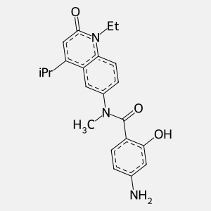 CCn1c(=O)cc(C(C)C)c2cc(N(C)C(=O)c3ccc(N)cc3O)ccc21